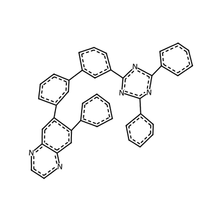 c1ccc(-c2nc(-c3ccccc3)nc(-c3cccc(-c4cccc(-c5cc6nccnc6cc5-c5ccccc5)c4)c3)n2)cc1